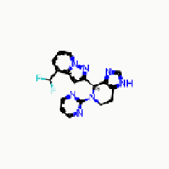 FC(F)c1cccn2nc([C@H]3c4nc[nH]c4CCN3c3ncccn3)cc12